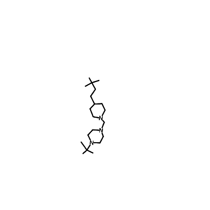 CC(C)(C)CCC1CCN(CN2CCN(C(C)(C)C)CC2)CC1